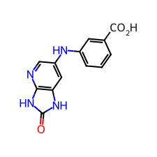 O=C(O)c1cccc(Nc2cnc3[nH]c(=O)[nH]c3c2)c1